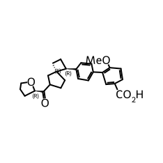 COc1ccc(C(=O)O)cc1-c1ccc([C@@H]2CC[C@@]23CCC(C(=O)[C@H]2CCCO2)C3)cc1